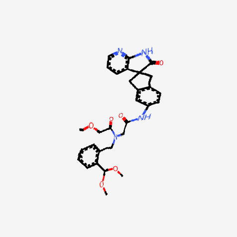 COCC(=O)N(CC(=O)Nc1ccc2c(c1)CC1(C2)C(=O)Nc2ncccc21)Cc1ccccc1C(OC)OC